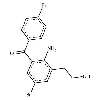 Nc1c(CCO)cc(Br)cc1C(=O)c1ccc(Br)cc1